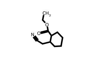 CCOC(=O)C1CCCCC1CC#N